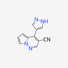 N#Cc1cnn2cccc2c1-c1cn[nH]c1